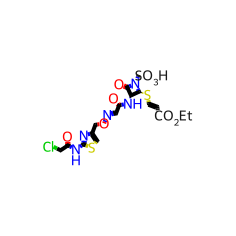 CCOC(=O)/C=C/S[C@@H]1[C@H](NC(=O)C=NOCc2csc(NC(=O)CCl)n2)C(=O)N1S(=O)(=O)O